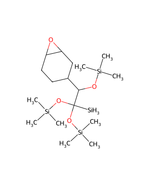 C[Si](C)(C)OC(C1CCC2OC2C1)C([SiH3])(O[Si](C)(C)C)O[Si](C)(C)C